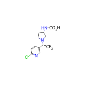 O=C(O)N[C@H]1CCN([C@H](c2ccc(Cl)nc2)C(F)(F)F)C1